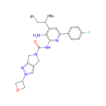 CCCCC(CC(C)C)c1cc(-c2ccc(F)cc2)nc(NC(=O)N2Cc3cn(C4COC4)nc3C2)c1N